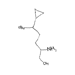 CC(C)(C)C(CCC(N)CO)C1CC1